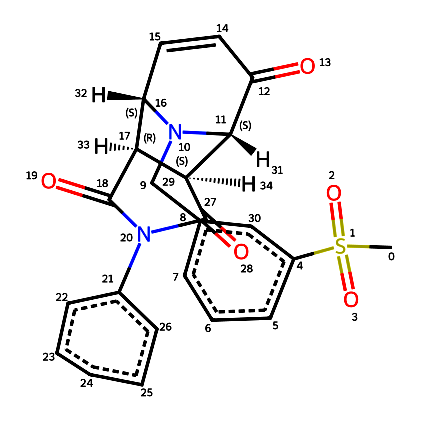 CS(=O)(=O)c1cccc(CN2[C@@H]3C(=O)C=C[C@H]2[C@@H]2C(=O)N(c4ccccc4)C(=O)[C@@H]23)c1